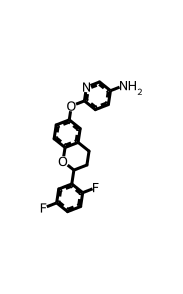 Nc1ccc(Oc2ccc3c(c2)CCC(c2cc(F)ccc2F)O3)nc1